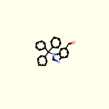 O=Cc1ccc2ncn(C(c3ccccc3)(c3ccccc3)c3ccccc3)c2c1